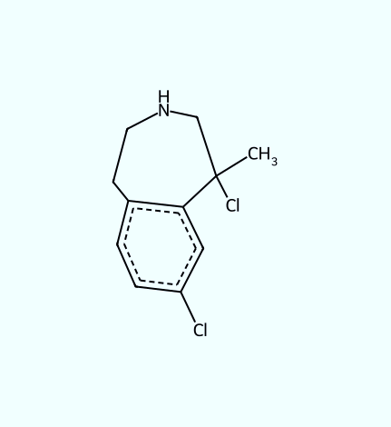 CC1(Cl)CNCCc2ccc(Cl)cc21